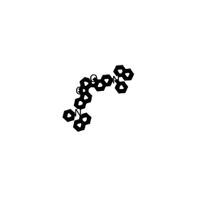 c1ccc(N(c2ccc3c(ccc4c3oc3ccc5oc6c7ccc(N(c8ccccc8)c8cccc9ccccc89)cc7ccc6c5c34)c2)c2cccc3ccccc23)cc1